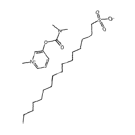 CCCCCCCCCCCCCCCCS(=O)(=O)[O-].CN(C)C(=O)Oc1ccc[n+](C)c1